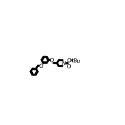 CC(C)(C)OC(=O)N1CCC(COc2cccc(OCc3ccccc3)c2)CC1